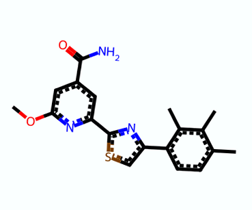 COc1cc(C(N)=O)cc(-c2nc(-c3ccc(C)c(C)c3C)cs2)n1